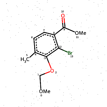 COCOc1c(C)ccc(C(=O)OC)c1Br